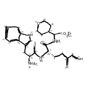 CCOC(=O)C(NC(=O)[C@H](CCC(=O)C=N)NC(=O)[C@H](Cc1c[nH]c2ccccc12)NC(C)=O)C1CCOCC1